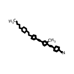 CCCCCC1CCC(CCc2ccc(C#Cc3ccc(C#Cc4ccc(C#N)cc4)c(C)c3)cc2)CC1